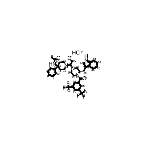 CC(=O)NC1(c2ccccc2)CCN(C(C=O)N2CCN(C(=O)c3cc(C(F)(F)F)cc(C(F)(F)F)c3)[C@H](Cc3c[nH]c4ccccc34)C2)CC1.Cl